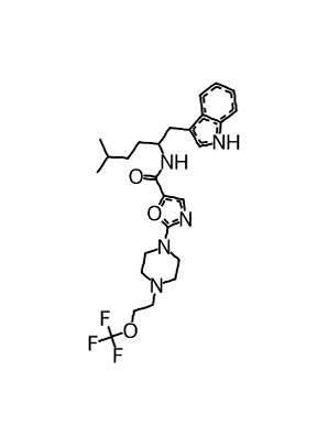 CC(C)CCC(Cc1c[nH]c2ccccc12)NC(=O)c1cnc(N2CCN(CCOC(F)(F)F)CC2)o1